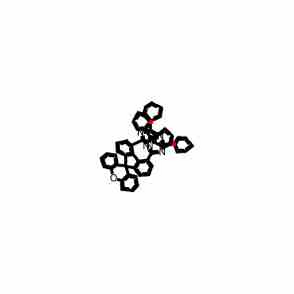 c1ccc(-c2nc(-c3ccccc3)nc(-c3cccc4c3-c3c(-c5nc(-c6ccccc6)c6ccccc6n5)cccc3C43c4ccccc4Oc4ccccc43)n2)cc1